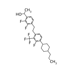 CCCC1CCC(c2ccc(CCc3ccc(C(C)O)c(F)c3F)c(C(F)(F)F)c2F)CC1